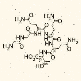 C[C@@H](O)[C@H](NC(=O)[C@H](CCC(N)=O)NC(=O)[C@H](CCC(N)=O)NC(=O)[C@H](CCC(N)=O)NC(=O)CNC(=O)CN)C(=O)O